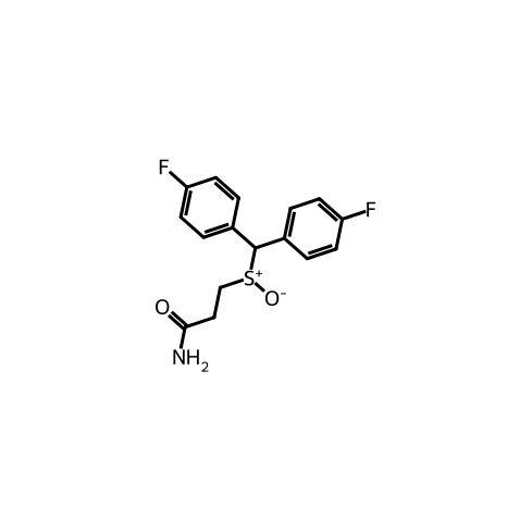 NC(=O)CC[S+]([O-])C(c1ccc(F)cc1)c1ccc(F)cc1